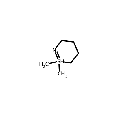 C[SH]1(C)=NCCCC1